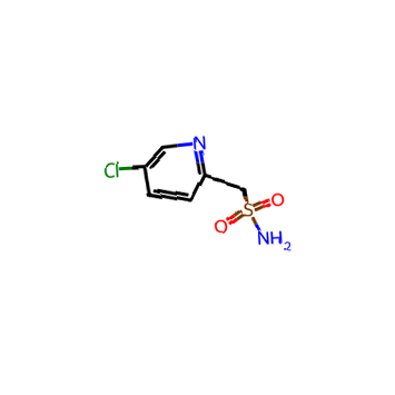 NS(=O)(=O)Cc1ccc(Cl)cn1